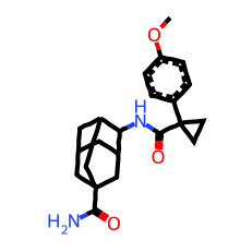 COc1ccc(C2(C(=O)NC3C4CC5CC3CC(C(N)=O)(C5)C4)CC2)cc1